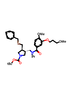 COCCCOc1cc(C(=O)N(C[C@@H]2CN(C(=O)OC(C)(C)C)C[C@H]2CSCc2ccccc2)C(C)C)ccc1OC